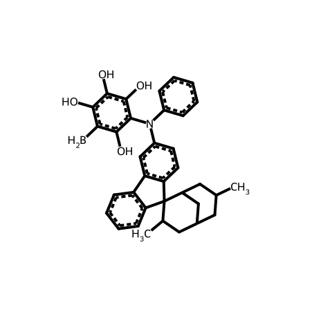 Bc1c(O)c(O)c(O)c(N(c2ccccc2)c2ccc3c(c2)-c2ccccc2C32C(C)CC3CC(C)CC2C3)c1O